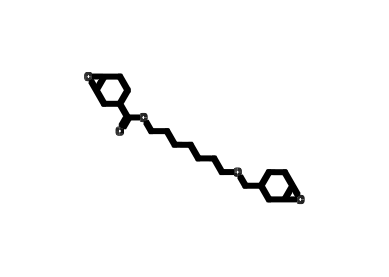 O=C(OCCCCCCCOCC1CCC2OC2C1)C1CCC2OC2C1